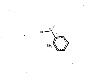 C[C@@H](O)c1ccccc1.N